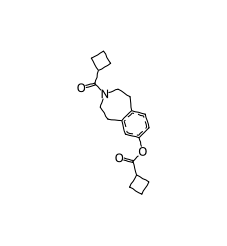 O=C(Oc1ccc2c(c1)CCN(C(=O)C1CCC1)CC2)C1CCC1